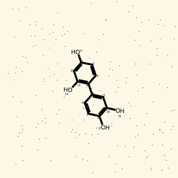 Oc1ccc(-c2ccc(O)c(O)c2)c(O)c1